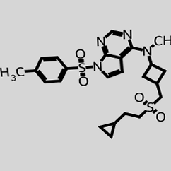 Cc1ccc(S(=O)(=O)n2ccc3c(N(C)C4CC(CS(=O)(=O)CCC5CC5)C4)ncnc32)cc1